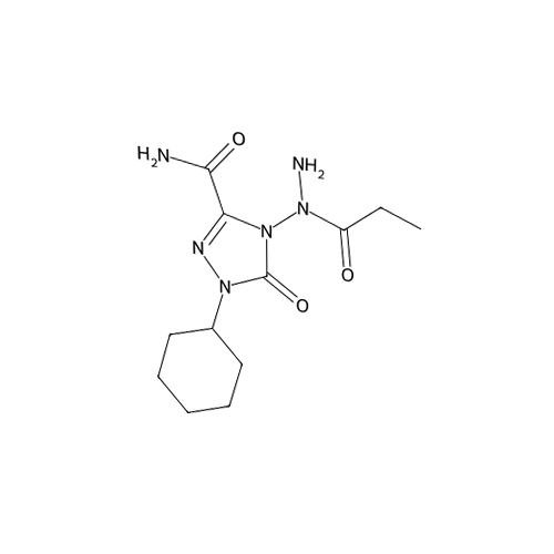 CCC(=O)N(N)n1c(C(N)=O)nn(C2CCCCC2)c1=O